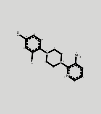 Nc1cccnc1N1CCN(c2ccc(Cl)cc2F)CC1